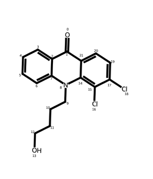 O=c1c2ccccc2n(CCCCO)c2c(Cl)c(Cl)ccc12